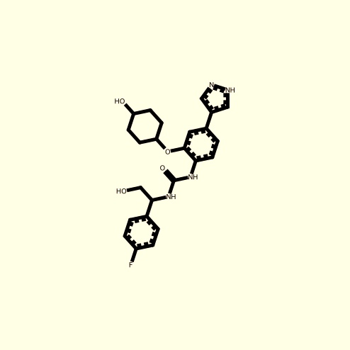 O=C(Nc1ccc(-c2cn[nH]c2)cc1OC1CCC(O)CC1)NC(CO)c1ccc(F)cc1